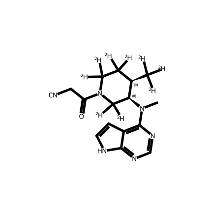 [2H]C([2H])([2H])[C@H]1[C@@H](N(C)c2ncnc3[nH]ccc23)C([2H])([2H])N(C(=O)C[N+]#[C-])C([2H])([2H])C1([2H])[2H]